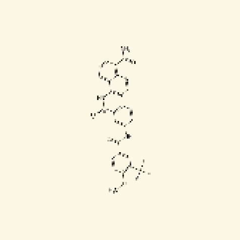 COc1ccc(C(=O)Nc2cccc([C@@H](C)Nc3ncnc4c(C(N)=O)cccc34)c2)cc1C(F)(F)F